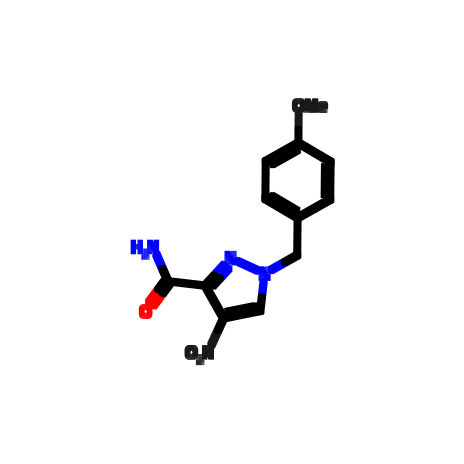 COc1ccc(Cn2cc([N+](=O)[O-])c(C(N)=O)n2)cc1